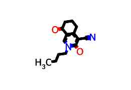 CCCCn1cc2c(c(C#N)c1=O)CCCC2=O